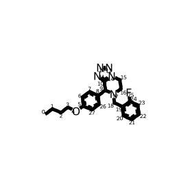 CCCCOc1ccc(C2c3nnnn3CCN2Cc2ccccc2F)cc1